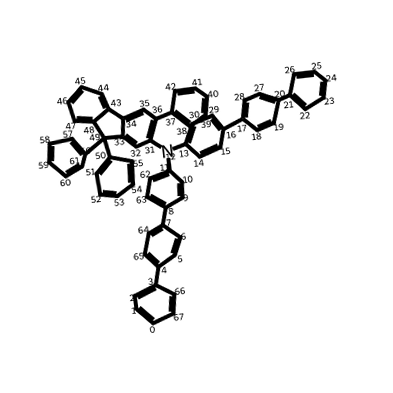 c1ccc(-c2ccc(-c3ccc(N(c4ccc(-c5ccc(-c6ccccc6)cc5)cc4)c4cc5c(cc4-c4ccccc4)-c4ccccc4C5(c4ccccc4)c4ccccc4)cc3)cc2)cc1